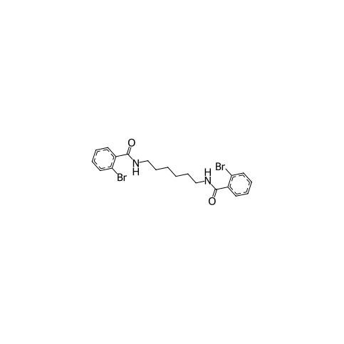 O=C(NCCCCCCNC(=O)c1ccccc1Br)c1ccccc1Br